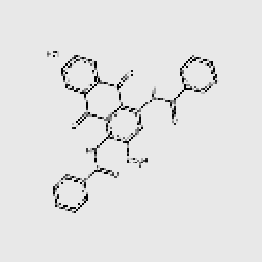 Cl.O=C(Nc1cc(C(=O)O)c(NC(=O)c2ccccc2)c2c1C(=O)c1ccccc1C2=O)c1ccccc1